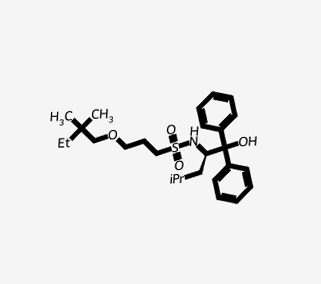 CCC(C)(C)COCCCS(=O)(=O)N[C@H](CC(C)C)C(O)(c1ccccc1)c1ccccc1